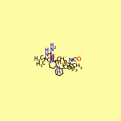 CC(C)(C)N=C=O.CC(C)(C)NC(N)=O.CC1CCCCN1.CC1CCCCN1